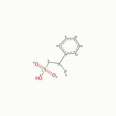 O=S(=O)(O)CC(F)c1ccccc1